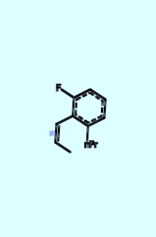 C/C=C\c1c(F)cccc1CCC